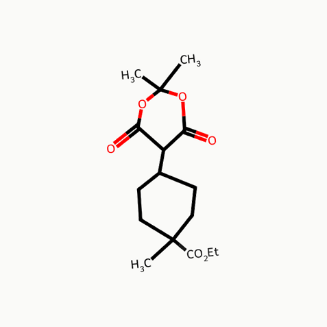 CCOC(=O)C1(C)CCC(C2C(=O)OC(C)(C)OC2=O)CC1